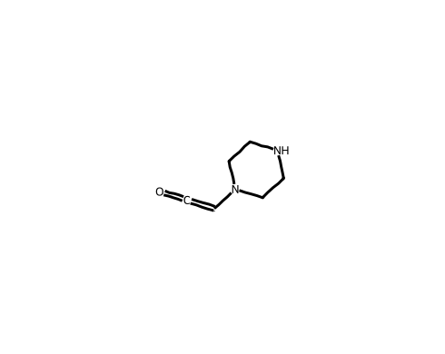 O=C=[C]N1CCNCC1